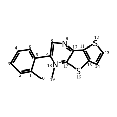 Cc1ccccc1-c1cnc2c3sccc3sc2[n+]1C